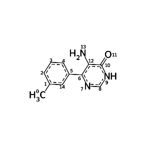 Cc1cccc(-c2nc[nH]c(=O)c2N)c1